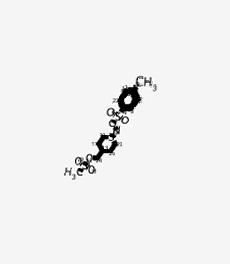 Cc1ccc(S(=O)(=O)ON=S2CCC(COS(C)(=O)=O)CC2)cc1